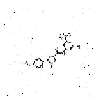 COCc1ccc(-c2cc(C(=O)Nc3cc(Cl)cc(S(C)(=O)=O)c3)cn2C)nc1